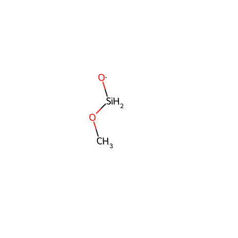 CO[SiH2][O]